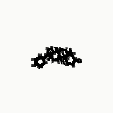 C[C@]12CC[C@H]3[C@@H](CCC45CC4C(=O)CC[C@]35C)[C@@H]1CC=C2c1cccnc1